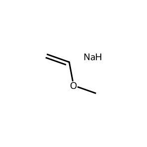 C=COC.[NaH]